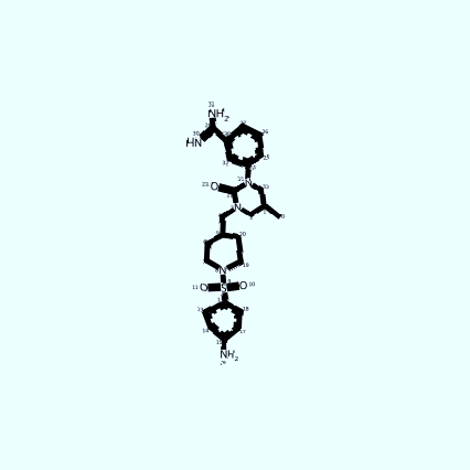 CC1CN(CC2CCN(S(=O)(=O)c3ccc(N)cc3)CC2)C(=O)N(c2cccc(C(=N)N)c2)C1